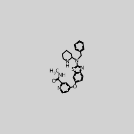 CNC(=O)c1cc(Oc2ccc3nc(N(Cc4ccccc4)C4CCCCN4)sc3c2)ccn1